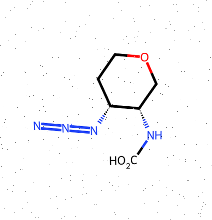 [N-]=[N+]=N[C@@H]1CCOC[C@@H]1NC(=O)O